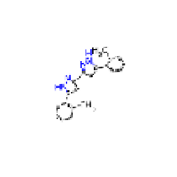 Cc1ccccc1-c1cc(-c2cc(-c3ccccc3C)[nH]n2)n[nH]1